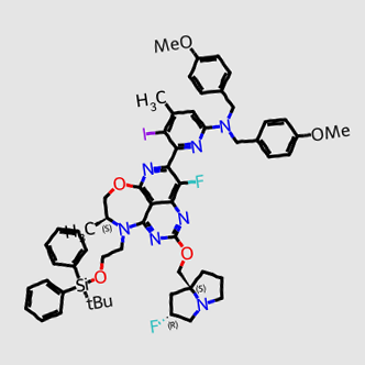 COc1ccc(CN(Cc2ccc(OC)cc2)c2cc(C)c(I)c(-c3nc4c5c(nc(OC[C@@]67CCCN6C[C@H](F)C7)nc5c3F)N(CCO[Si](c3ccccc3)(c3ccccc3)C(C)(C)C)[C@@H](C)CO4)n2)cc1